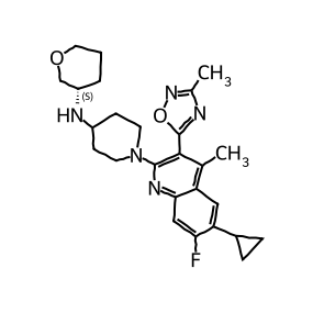 Cc1noc(-c2c(N3CCC(N[C@H]4CCCOC4)CC3)nc3cc(F)c(C4CC4)cc3c2C)n1